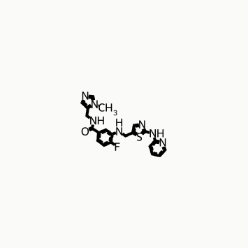 Cn1cncc1CNC(=O)c1ccc(F)c(NCc2cnc(Nc3ccccn3)s2)c1